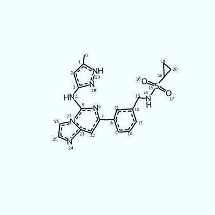 Cc1cc(Nc2nc(-c3cccc(CNS(=O)(=O)C4CC4)c3)cc3nccn23)n[nH]1